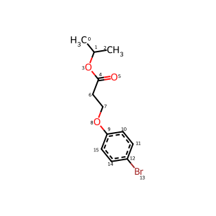 CC(C)OC(=O)CCOc1ccc(Br)cc1